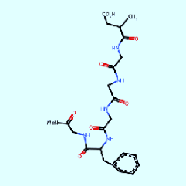 CNC(=O)CNC(=O)C(Cc1ccccc1)NC(=O)CNC(=O)CNC(=O)CNC(=O)C(C)CC(=O)O